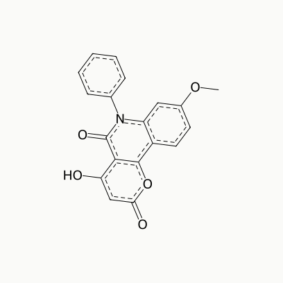 COc1ccc2c3oc(=O)cc(O)c3c(=O)n(-c3ccccc3)c2c1